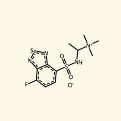 CC(NS(=O)(=O)c1ccc(F)c2n[se]nc12)[N+](C)(C)C.[Cl-]